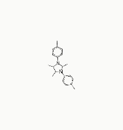 Cc1ccc(N2C(C)C(C)N(c3ccc(C)cc3)C2C)cc1